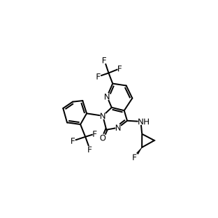 O=c1nc(NC2C[C@H]2F)c2ccc(C(F)(F)F)nc2n1-c1ccccc1C(F)(F)F